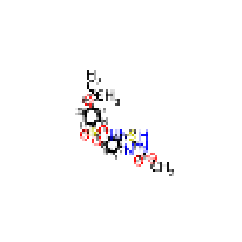 COC(=O)NC1=Nc2ccc(OS(=O)(=O)c3ccc(OC(C)C)cc3)cc2NS1